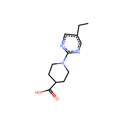 CCc1cnc(N2CCC(C(=O)O)CC2)nc1